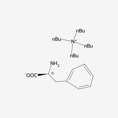 CCCC[N+](CCCC)(CCCC)CCCC.N[C@@H](Cc1ccccc1)C(=O)[O-]